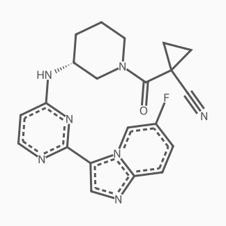 N#CC1(C(=O)N2CCC[C@@H](Nc3ccnc(-c4cnc5ccc(F)cn45)n3)C2)CC1